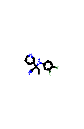 CCC(C#N)(Nc1ccc(F)c(Cl)c1)c1cccnc1